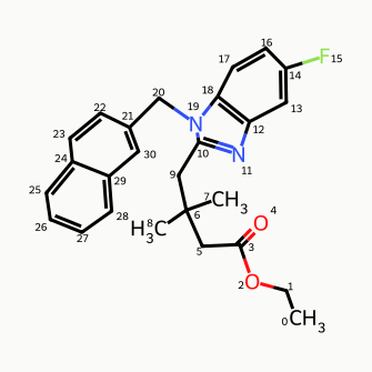 CCOC(=O)CC(C)(C)Cc1nc2cc(F)ccc2n1Cc1ccc2ccccc2c1